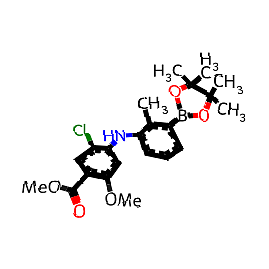 COC(=O)c1cc(Cl)c(Nc2cccc(B3OC(C)(C)C(C)(C)O3)c2C)cc1OC